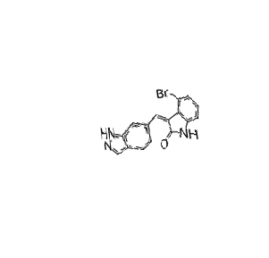 O=C1Nc2cccc(Br)c2C1=Cc1ccc2cn[nH]c2c1